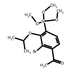 CO[Si](OC)(OC)c1ccc(C(C)=O)c(Br)c1OC(C)C